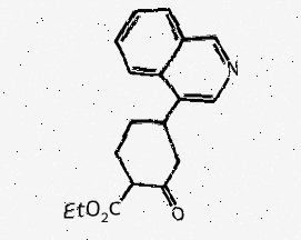 CCOC(=O)C1CCC(c2cncc3ccccc23)CC1=O